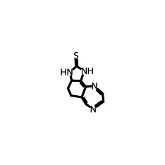 S=C1NC2=C3N=CC=NC=C3CCC2N1